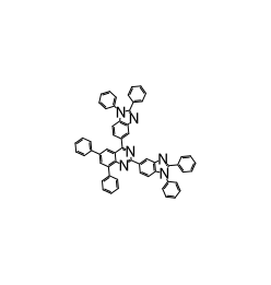 c1ccc(-c2cc(-c3ccccc3)c3nc(-c4ccc5c(c4)nc(-c4ccccc4)n5-c4ccccc4)nc(-c4ccc5c(c4)nc(-c4ccccc4)n5-c4ccccc4)c3c2)cc1